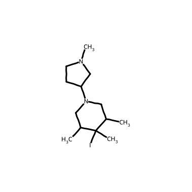 CC1CN(C2CCN(C)C2)CC(C)C1(C)I